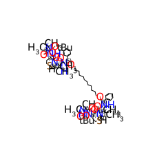 C[C@@H](C(=O)N[C@H]1CCS[C@H]2CC(C)(C)[C@@H](C(=O)N[C@H](COCCCCCCCCCCCCOC[C@@H](NC(=O)[C@H]3N4C(=O)[C@@H](NC(=O)[C@H](C)N(C)C(=O)OC(C)(C)C)CCS[C@H]4CC3(C)C)c3ccccc3)c3ccccc3)N2C1=O)N(C)C(=O)OC(C)(C)C